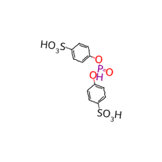 O=[PH](Oc1ccc(S(=O)(=O)O)cc1)Oc1ccc(S(=O)(=O)O)cc1